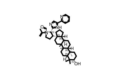 C=C(C)[N@@+]1(C=O)CCC([C@]23CCC[C@@H]2[C@H]2CC[C@@H]4[C@@]5(C)CC[C@H](O)C(C)(C)[C@@H]5CC[C@@]4(C)[C@]2(C)CC3)[C@H]1c1ncc(-c2ccccn2)[nH]1